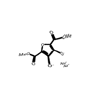 COC(=O)c1oc(C(=O)OC)c([O-])c1[O-].[Na+].[Na+]